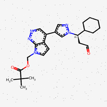 CC(C)(C)C(=O)OCn1ccc2c(-c3cnn([C@H](CC=O)C4CCCCC4)c3)cnnc21